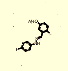 COc1ccc(F)c(/C=N/Nc2ccc(F)cc2)c1